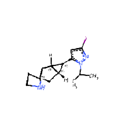 CC(C)n1nc(I)cc1[C@H]1[C@@H]2C[C@@]3(CCN3)C[C@@H]21